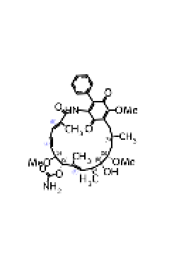 COC1=C2C[C@@H](C)C[C@H](OC)[C@H](O)[C@@H](C)/C=C(\C)[C@H](OC(N)=O)[C@@H](OC)/C=C\C=C(/C)C(=O)NC(=C(c3ccccc3)C1=O)C2=O